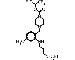 CCOC(=O)CCCNc1cc(C)ccc1CN1CCN(C(=O)OC(C(F)(F)F)C(F)(F)F)CC1